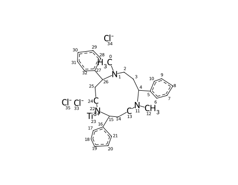 CN1CCC(c2ccccc2)N(C)CCC(c2ccccc2)[N]([Ti+3])CCC1c1ccccc1.[Cl-].[Cl-].[Cl-]